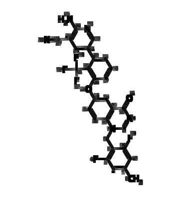 Cc1cc(F)c(Cn2cnc(=O)c3cc(Oc4cccc(-c5cnc(N)c(C#N)c5)c4C(F)(F)F)ccc32)c(F)c1